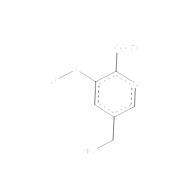 CCOC(=O)c1ncc(CO)cc1SCC